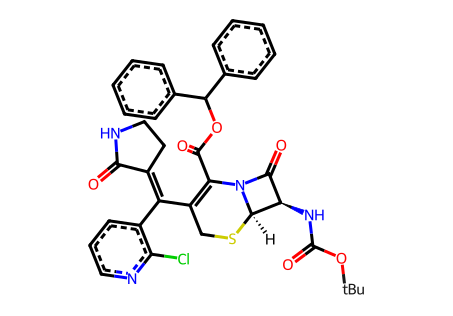 CC(C)(C)OC(=O)N[C@@H]1C(=O)N2C(C(=O)OC(c3ccccc3)c3ccccc3)=C(C(=C3CCNC3=O)c3cccnc3Cl)CS[C@H]12